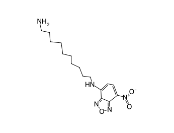 NCCCCCCCCCCNc1ccc([N+](=O)[O-])c2nonc12